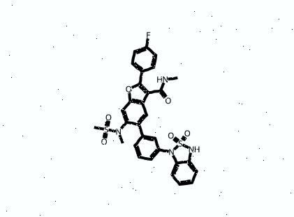 CNC(=O)c1c(-c2ccc(F)cc2)oc2cc(N(C)S(C)(=O)=O)c(-c3cccc(N4c5ccccc5NS4(=O)=O)c3)cc12